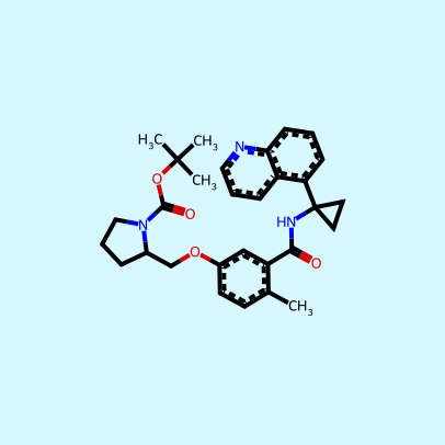 Cc1ccc(OCC2CCCN2C(=O)OC(C)(C)C)cc1C(=O)NC1(c2cccc3ncccc23)CC1